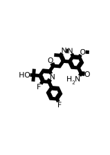 COc1cc(C(N)=O)cc2c(CC(=O)c3cc(C(C)(C)O)c(F)c(-c4ccc(F)cc4)n3)c(C)nnc12